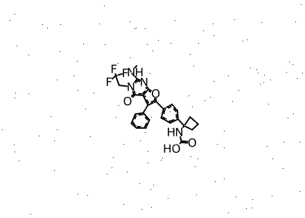 CNc1nc2oc(-c3ccc(C4(NC(=O)O)CCC4)cc3)c(-c3ccccc3)c2c(=O)n1CC(F)(F)F